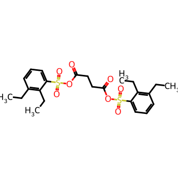 CCc1cccc(S(=O)(=O)OC(=O)CCC(=O)OS(=O)(=O)c2cccc(CC)c2CC)c1CC